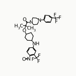 CC(C)(OC1CCC(Nc2ccc(N=O)c(C(F)(F)F)c2)CC1)C(=O)N1CCN(c2ccc(C(F)(F)F)cc2)CC1